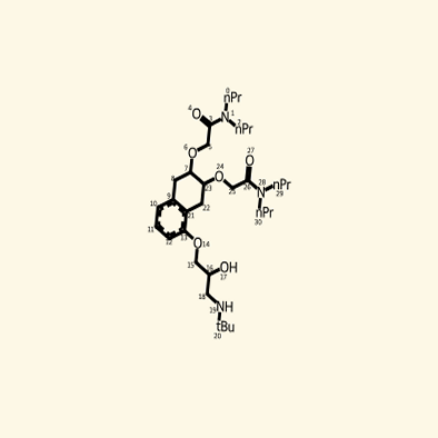 CCCN(CCC)C(=O)COC1Cc2cccc(OCC(O)CNC(C)(C)C)c2CC1OCC(=O)N(CCC)CCC